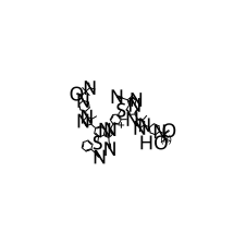 Cc1c(-c2cc(Sc3ccc(-[n+]4cc(C#N)c5c(Sc6ccccc6C#N)cc(-c6cnn(C7CCN(C(=O)C(C)(C)N(C)C)CC7)c6C)cn54)cc3C#N)c3c(C#N)cnn3c2)cnn1C1CCN(C(=O)[C@@H](C)O)CC1